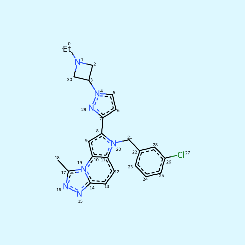 [CH2][CH]N1CC(n2ccc(-c3cc4c(ccc5nnc(C)n54)n3Cc3cccc(Cl)c3)n2)C1